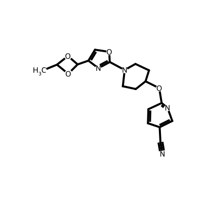 CC1OC(c2coc(N3CCC(Oc4ccc(C#N)cn4)CC3)n2)O1